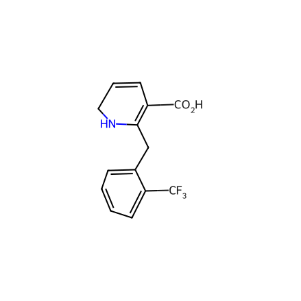 O=C(O)C1=C(Cc2ccccc2C(F)(F)F)NCC=C1